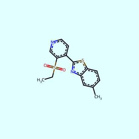 CCS(=O)(=O)c1cnccc1-c1nc2cc(C)ccc2s1